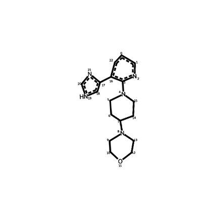 c1cnc(N2CCC(N3CCOCC3)CC2)c(-c2c[nH]cn2)c1